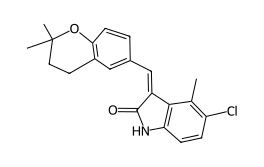 Cc1c(Cl)ccc2c1C(=Cc1ccc3c(c1)CCC(C)(C)O3)C(=O)N2